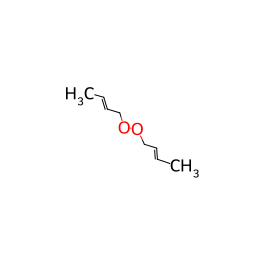 C/C=C/COOC/C=C/C